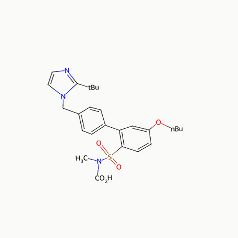 CCCCOc1ccc(S(=O)(=O)N(C)C(=O)O)c(-c2ccc(Cn3ccnc3C(C)(C)C)cc2)c1